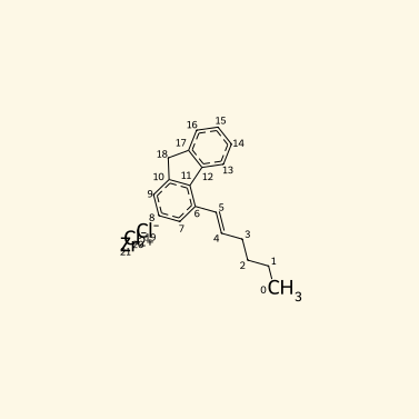 CCCCC=Cc1cccc2c1-c1ccccc1C2.[Cl-].[Cl-].[Zr+2]